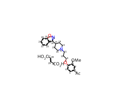 COc1cc(C(C)=O)ccc1OCCCN1CCC(c2noc3ccccc23)CC1.O=C(O)C=CC(=O)O